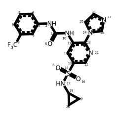 O=C(Nc1cccc(C(F)(F)F)c1)Nc1cc(S(=O)(=O)NC2CC2)cnc1-n1ccnc1